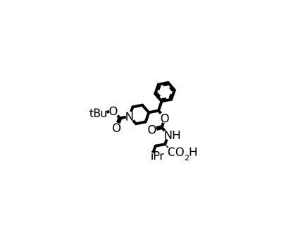 CC(C)C[C@H](NC(=O)OC(c1ccccc1)C1CCN(C(=O)OC(C)(C)C)CC1)C(=O)O